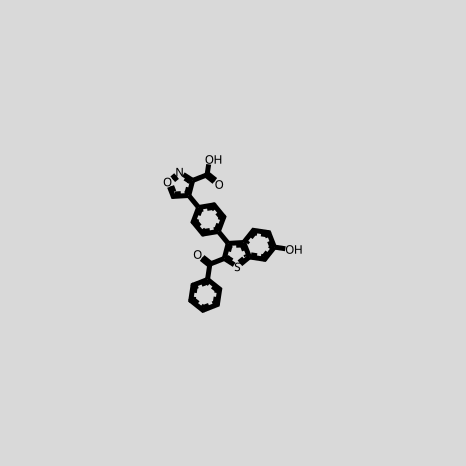 O=C(O)c1nocc1-c1ccc(-c2c(C(=O)c3ccccc3)sc3cc(O)ccc23)cc1